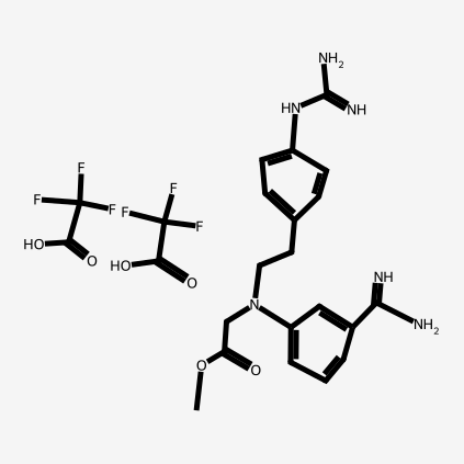 COC(=O)CN(CCc1ccc(NC(=N)N)cc1)c1cccc(C(=N)N)c1.O=C(O)C(F)(F)F.O=C(O)C(F)(F)F